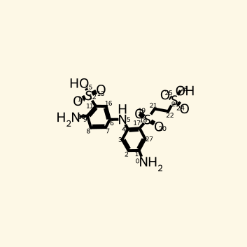 Nc1ccc(Nc2ccc(N)c(S(=O)(=O)O)c2)c(S(=O)(=O)CCS(=O)(=O)O)c1